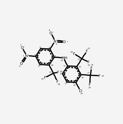 O=[N+]([O-])c1cc([N+](=O)[O-])c(Nc2ccc(Cl)c(C(F)(F)F)c2C(F)(F)F)c(C(F)(F)F)c1